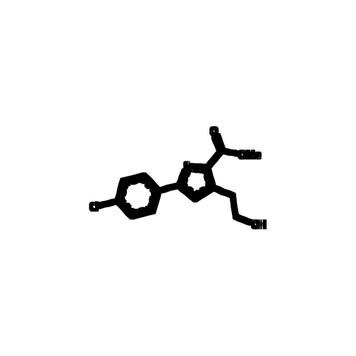 COC(=O)c1sc(-c2ccc(Cl)cc2)cc1CCO